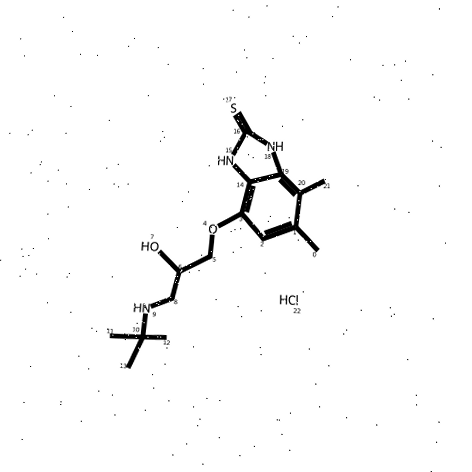 Cc1cc(OCC(O)CNC(C)(C)C)c2[nH]c(=S)[nH]c2c1C.Cl